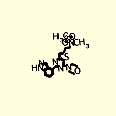 CN(CCc1cc2nc(-c3cccc4[nH]ncc34)nc(N3CCOCC3)c2s1)S(C)(=O)=O